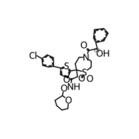 O=C(CC1(c2ccc(-c3ccc(Cl)cc3)s2)CCN(C(=O)[C@@H](O)c2ccccc2)CCS1(=O)=O)NOC1CCCCO1